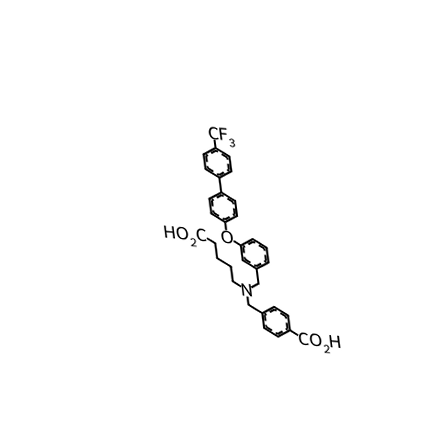 O=C(O)CCCCN(Cc1ccc(C(=O)O)cc1)Cc1cccc(Oc2ccc(-c3ccc(C(F)(F)F)cc3)cc2)c1